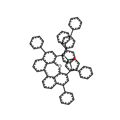 c1ccc(-c2ccc(N(c3ccccc3)c3cc(-c4ccccc4)c4cccc5c6cccc7c(-c8ccccc8)cc(N(c8ccccc8)c8ccc(-c9ccccc9)cc8)c(oc3c45)c76)cc2)cc1